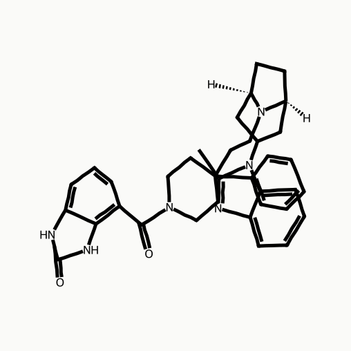 Cc1nc2ccccc2n1C1C[C@H]2CC[C@@H](C1)N2CCC1(c2ccccc2)CCN(C(=O)c2cccc3[nH]c(=O)[nH]c23)CC1